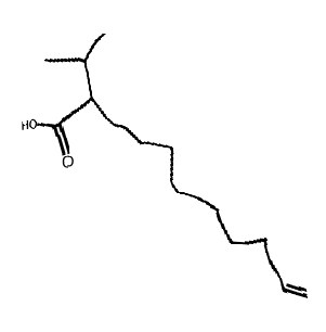 C=CCCCCCCCC(C(=O)O)C(C)C